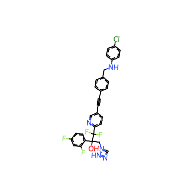 OC(Cn1cn[nH]1)(c1ccc(F)cc1F)C(F)(F)c1ccc(C#Cc2ccc(CNc3ccc(Cl)cc3)cc2)cn1